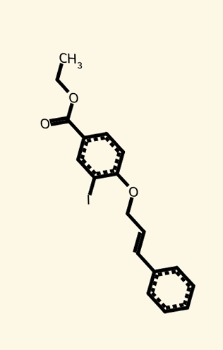 CCOC(=O)c1ccc(OCC=Cc2ccccc2)c(I)c1